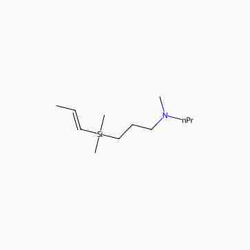 CC=C[Si](C)(C)CCCN(C)CCC